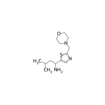 C[C](C)CC(N)c1cnc(CN2CCOCC2)s1